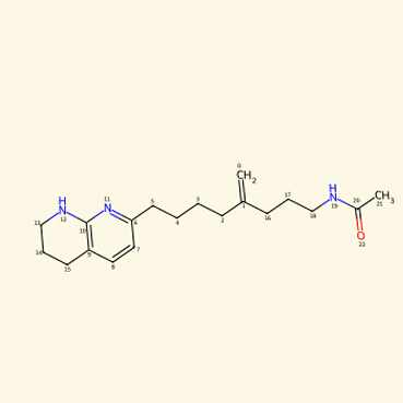 C=C(CCCCc1ccc2c(n1)NCCC2)CCCNC(C)=O